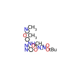 Cc1ccc(Oc2ccc(Nc3ncnc4cccc(O[C@H](C)C(=O)N5CCN(C(=O)OC(C)(C)C)CC5)c34)cc2C)cn1